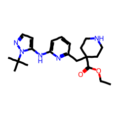 CCOC(=O)C1(Cc2cccc(Nc3ccnn3C(C)(C)C)n2)CCNCC1